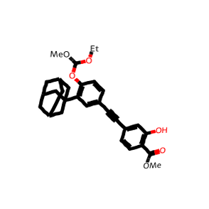 CCOC(OC)Oc1ccc(C#Cc2ccc(C(=O)OC)c(O)c2)cc1C12CC3CC(CC(C3)C1)C2